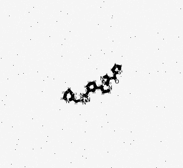 O=C(c1cccs1)c1cnn2c(-c3cccc(-c4nnn(Cc5ccccn5)n4)c3)ccnc12